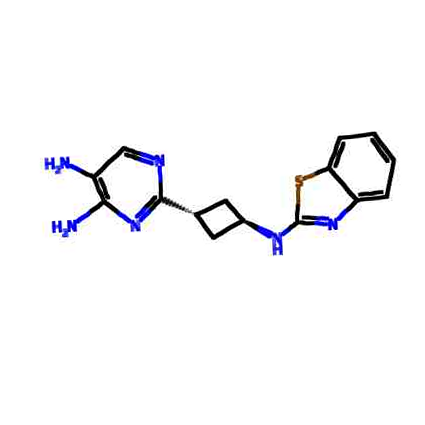 Nc1cnc([C@H]2C[C@H](Nc3nc4ccccc4s3)C2)nc1N